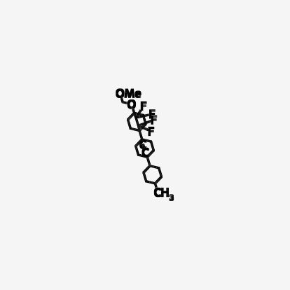 COCOC12CCC(C34CCC(C5CCC(C)CC5)(CC3)CC4)(CC1)C(F)(F)C2(F)F